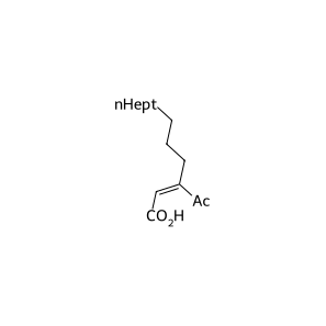 CCCCCCCCCCC(=CC(=O)O)C(C)=O